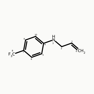 C=CCNc1ccc(C(F)(F)F)cc1